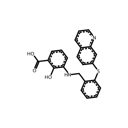 O=C(O)c1cccc(NCc2ccccc2Sc2ccc3cccnc3c2)c1O